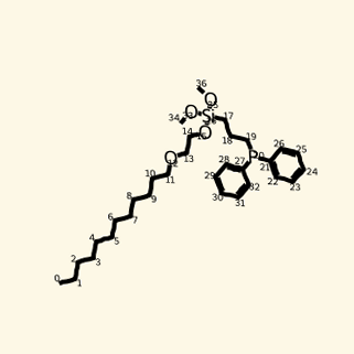 CCCCCCCCCCCCOCCO[Si](CCCP(c1ccccc1)c1ccccc1)(OC)OC